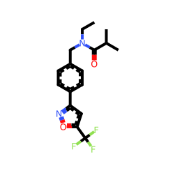 CCN(Cc1ccc(-c2cc(C(F)(F)F)on2)cc1)C(=O)C(C)C